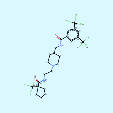 O=C(NCC1CCN(CCNC(=O)C2(C(F)(F)F)CCCC2)CC1)c1cc(C(F)(F)F)cc(C(F)(F)F)c1